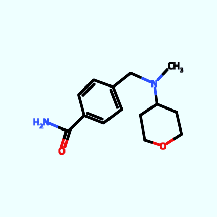 CN(Cc1ccc(C(N)=O)cc1)C1CCOCC1